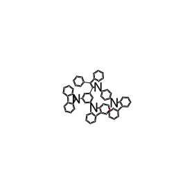 c1ccc(-c2c(-c3cc(-n4c5ccccc5c5ccccc54)cc(-n4c5ccccc5c5ccccc54)c3)n(-c3ccc(-n4c5ccccc5c5ccccc54)cc3)c3ccccc23)cc1